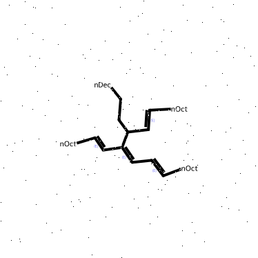 CCCCCCCC/C=C/[C]=C(/C=C/CCCCCCCC)C(/C=C/CCCCCCCC)CCCCCCCCCCCC